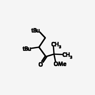 COC(C)(C)C(=O)C(CC(C)(C)C)C(C)(C)C